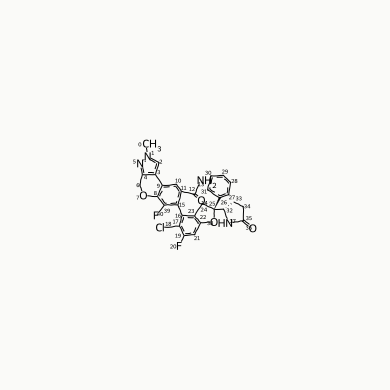 Cn1cc2c(n1)COc1c-2cc(C(N)=O)c(-c2c(Cl)c(F)cc3c2C[C@](c2ccccc2)([C@@H]2CCC(=O)N2)O3)c1F